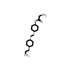 CCC[C@H]1CC[C@H](CC[C@H]2CC[C@H](OC(=O)CC)CC2)CC1